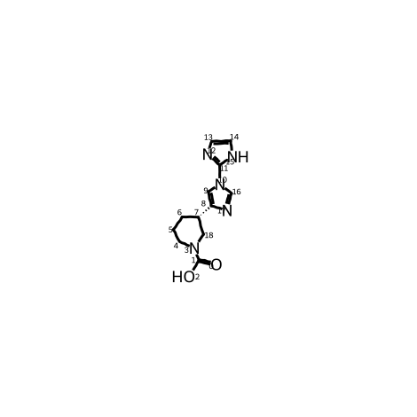 O=C(O)N1CCC[C@H](c2cn(-c3ncc[nH]3)cn2)C1